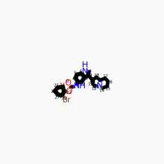 O=C(Nc1ccc2[nH]cc(C3=CCN4CCCCC4C3)c2c1)Oc1ccccc1Br